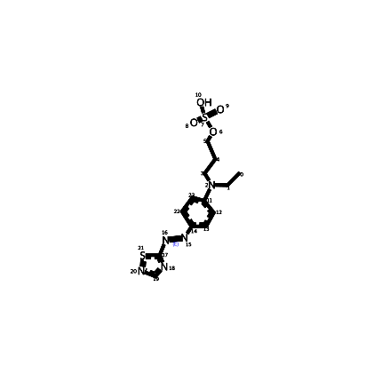 CCN(CCCOS(=O)(=O)O)c1ccc(/N=N/c2ncns2)cc1